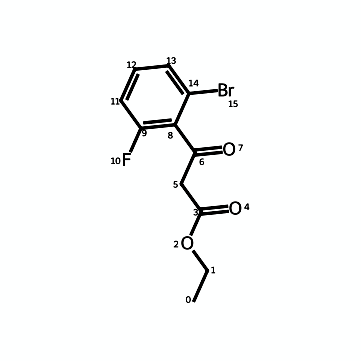 CCOC(=O)CC(=O)c1c(F)cccc1Br